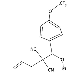 C=CCC(C#N)(C#N)C(OCC)c1ccc(OC(F)(F)F)cc1